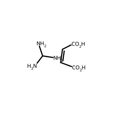 NC(N)N.O=C(O)/C=C\C(=O)O